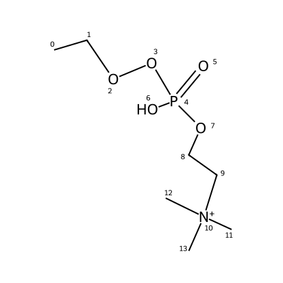 CCOOP(=O)(O)OCC[N+](C)(C)C